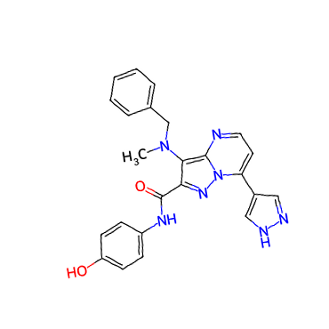 CN(Cc1ccccc1)c1c(C(=O)Nc2ccc(O)cc2)nn2c(-c3cn[nH]c3)ccnc12